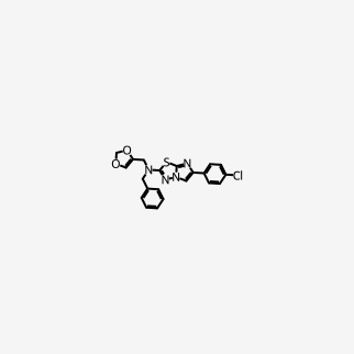 Clc1ccc(-c2cn3nc(N(CC4=COCO4)Cc4ccccc4)sc3n2)cc1